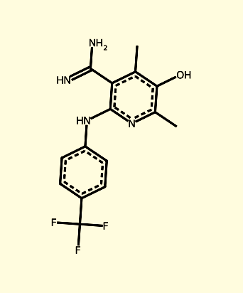 Cc1nc(Nc2ccc(C(F)(F)F)cc2)c(C(=N)N)c(C)c1O